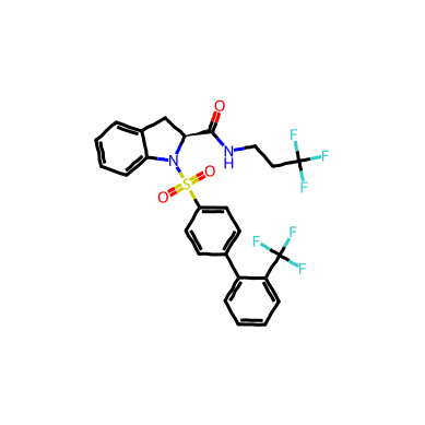 O=C(NCCC(F)(F)F)[C@@H]1Cc2ccccc2N1S(=O)(=O)c1ccc(-c2ccccc2C(F)(F)F)cc1